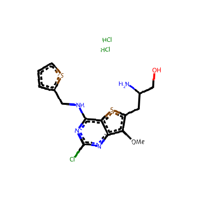 COc1c(CC(N)CO)sc2c(NCc3cccs3)nc(Cl)nc12.Cl.Cl